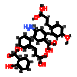 COc1ccc(/C=C/C(=O)O)cc1.Nc1ccc(C(=O)O)cc1.O=C(O)/C=C/c1ccccc1.O=C(O)c1ccccc1O